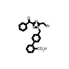 CC(C)Cc1nc(C(=O)c2ccccc2)nn1Cc1ccc(-c2ccccc2C(=O)O)cc1